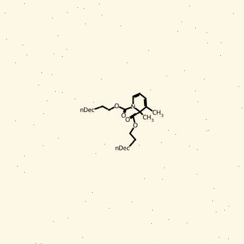 CCCCCCCCCCCCOC(=O)N1C=CC=C(C)C1(C)C(=O)OCCCCCCCCCCCC